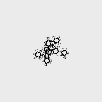 c1ccc(-c2ccc(-c3ccccc3)c(-n3c4ccccc4c4cccc(-c5ccc6c7ccccc7n(-c7ccccc7)c6c5)c43)c2)cc1